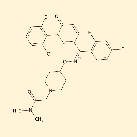 CN(C)C(=O)CN1CCC(O/N=C(\c2ccc(=O)n(-c3c(Cl)cccc3Cl)c2)c2ccc(F)cc2F)CC1